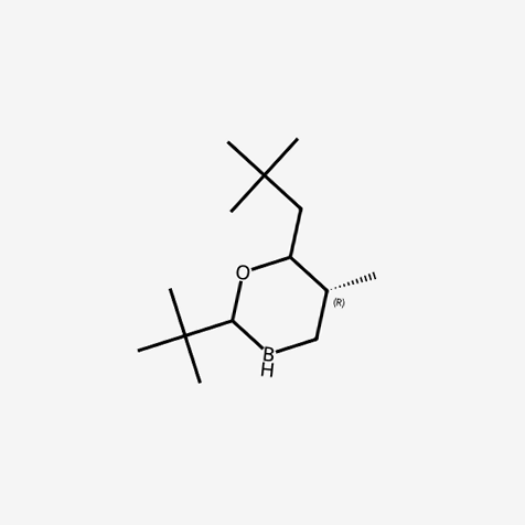 C[C@@H]1CBC(C(C)(C)C)OC1CC(C)(C)C